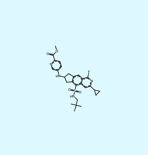 COC(=O)c1ccc(NC2Cc3cc4c(F)nc(C5CC5)cc4c(S(=O)(=O)NCC(C)(C)F)c3C2)cn1